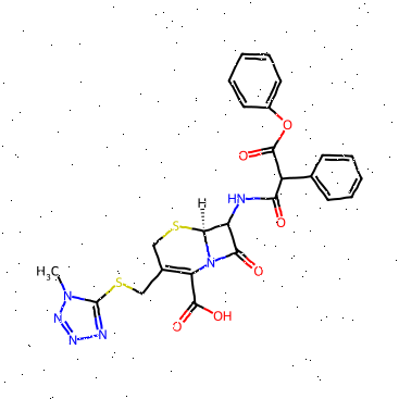 Cn1nnnc1SCC1=C(C(=O)O)N2C(=O)C(NC(=O)C(C(=O)Oc3ccccc3)c3ccccc3)[C@@H]2SC1